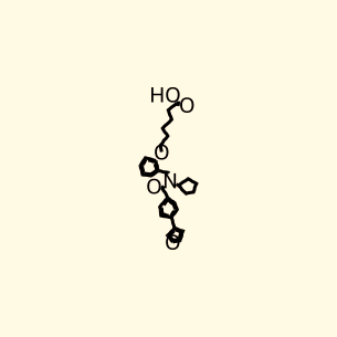 O=C(O)CCCCCOc1ccccc1CN(C(=O)c1ccc(-c2ccoc2)cc1)C1CCCC1